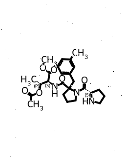 COC(=O)[C@@H](NC(=O)C1(Cc2cccc(C)c2)CCCN1C(=O)[C@@H]1CCCN1)[C@@H](C)OC(C)=O